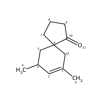 CC1=CC(C)CC2(CCCC2=O)C1